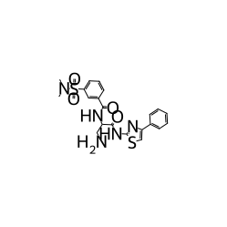 CN(C)S(=O)(=O)c1cccc(C(=O)NC(CN)C(=O)Nc2nc(-c3ccccc3)cs2)c1